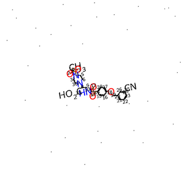 CS(=O)(=O)N1CCN(C(CNS(=O)(=O)c2ccc(OCc3cccc(C#N)c3)cc2)C(=O)O)CC1